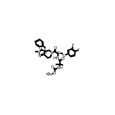 CN1N=C2CCN(C(=O)[C@@H](COc3ccc(F)c(F)c3)NC(=O)C(C)(C)NC(=O)OC(C)(C)C)C[C@@]2(Cc2ccccc2)C1=O